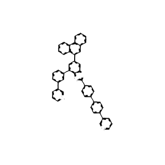 c1cncc(-c2ccc(-c3ccc(-c4nc5c(-c6cccc(-c7cccnc7)c6)cc(-c6cc7ccccc7c7ccccc67)cc5o4)cc3)cc2)c1